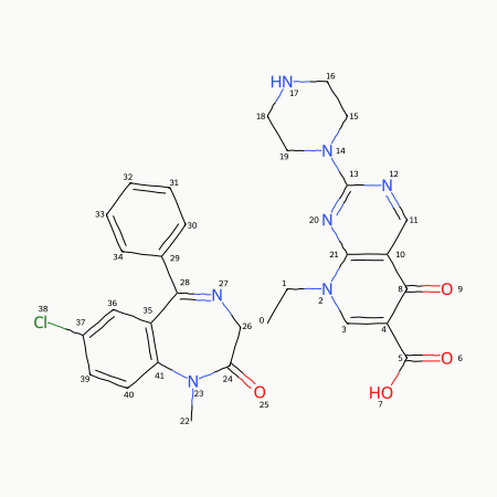 CCn1cc(C(=O)O)c(=O)c2cnc(N3CCNCC3)nc21.CN1C(=O)CN=C(c2ccccc2)c2cc(Cl)ccc21